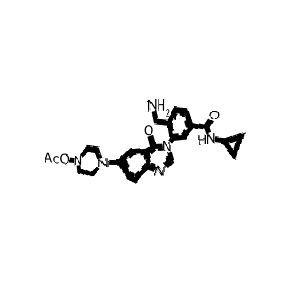 CC(=O)ON1CCN(c2ccc3ncn(-c4cc(C(=O)NC5CC5)ccc4CN)c(=O)c3c2)CC1